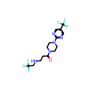 O=C(CCNCC(F)(F)F)N1CCN(c2ncc(C(F)(F)F)cn2)CC1